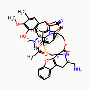 COc1c(C)cc2c(c1O)[C@H](N(C)C)[C@@H]1[C@@H]3SC[C@]4(N[C@@H](CN)Cc5c4oc4ccccc54)C(=O)OC[C@@H](c4c5c(c(C)c(OC(C)=O)c43)OCO5)N1C(C#N)C2